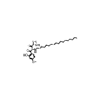 CCCCCCCCCCCCCCCCCCNN(C(=O)c1ccc(O)cc1O)C(=O)C(N)N